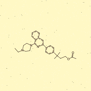 CCN1CCN(c2nc(-c3ccc(C(C)(C)CCOC(C)=O)cc3)cc3ccccc23)CC1